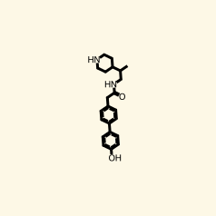 CC(CNC(=O)Cc1ccc(-c2ccc(O)cc2)cc1)C1CCNCC1